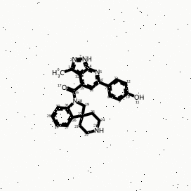 Cc1n[nH]c2nc(-c3ccc(O)cc3)cc(C(=O)N3CC4(CCNCC4)c4ccccc43)c12